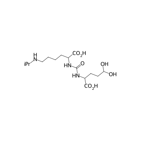 CC(C)NCCCCC(NC(=O)NC(CCC(O)O)C(=O)O)C(=O)O